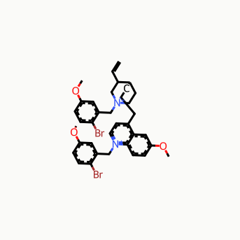 C=CC1C[N+]2(Cc3cc(OC)ccc3Br)CCC1CC2Cc1cc[n+](Cc2cc(OC)ccc2Br)c2ccc(OC)cc12